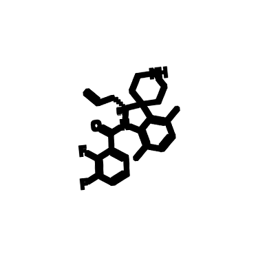 C=CC[C@H]1N(C(=O)c2cccc(F)c2F)c2c(C)ccc(C)c2C12CCNCC2